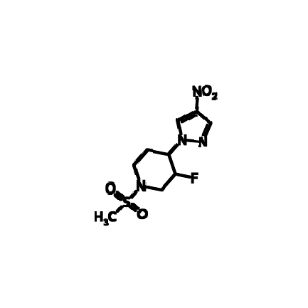 CS(=O)(=O)N1CCC(n2cc([N+](=O)[O-])cn2)C(F)C1